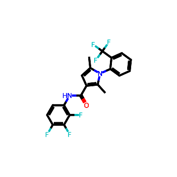 Cc1cc(C(=O)Nc2ccc(F)c(F)c2F)c(C)n1-c1ccccc1C(F)(F)F